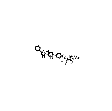 COC(=O)C(C)(C)COc1ccc(-c2ccc(-c3ncc(-c4ccccc4)[nH]3)cn2)cc1